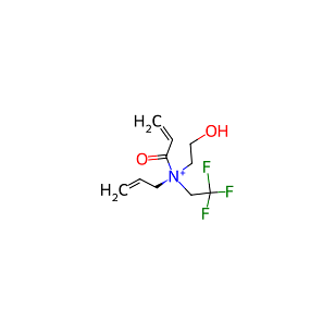 C=CC[N@@+](CCO)(CC(F)(F)F)C(=O)C=C